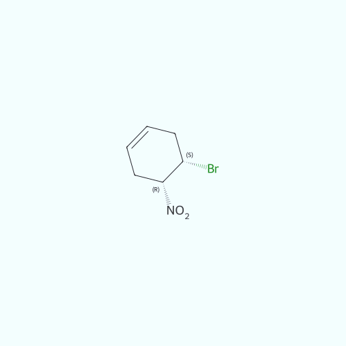 O=[N+]([O-])[C@@H]1CC=CC[C@@H]1Br